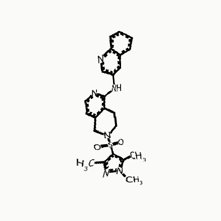 Cc1nn(C)c(C)c1S(=O)(=O)N1CCc2c(ccnc2Nc2cnc3ccccc3c2)C1